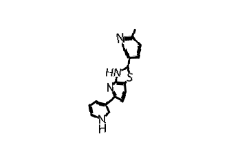 Cc1ccc(C2Nc3nc(C4=CC=CNC4)ccc3S2)cn1